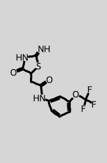 N=C1NC(=O)C(CC(=O)Nc2cccc(OC(F)(F)F)c2)S1